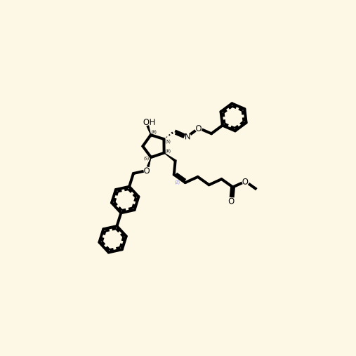 COC(=O)CCC/C=C\C[C@@H]1[C@@H](C=NOCc2ccccc2)[C@H](O)C[C@@H]1OCc1ccc(-c2ccccc2)cc1